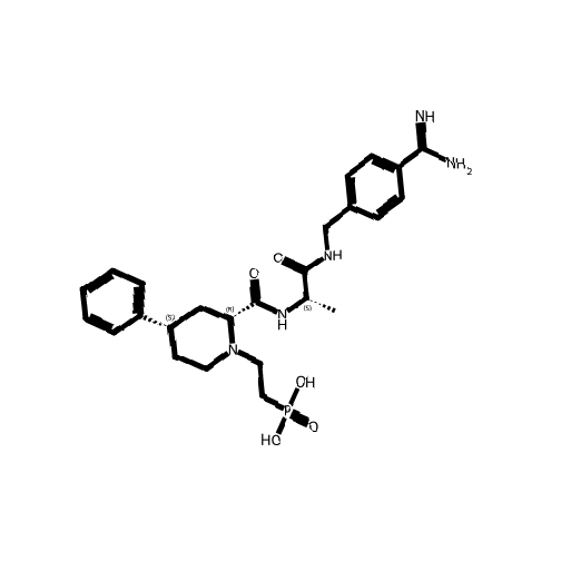 C[C@H](NC(=O)[C@H]1C[C@@H](c2ccccc2)CCN1CCP(=O)(O)O)C(=O)NCc1ccc(C(=N)N)cc1